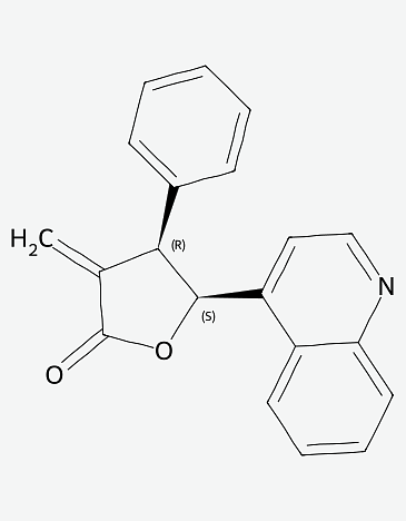 C=C1C(=O)O[C@H](c2ccnc3ccccc23)[C@@H]1c1ccccc1